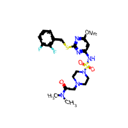 COc1cc(NS(=O)(=O)N2CCN(CC(=O)N(C)C)CC2)nc(SCc2cccc(F)c2F)n1